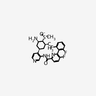 C[C@H]1C[C@@H](c2ccncc2NC(=O)c2ccc(F)c(-c3c(F)cccc3F)n2)C[C@@H](N)[C@H]1[S@@+](C)[O-]